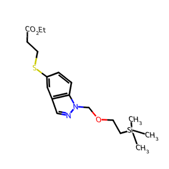 CCOC(=O)CCSc1ccc2c(cnn2COCC[Si](C)(C)C)c1